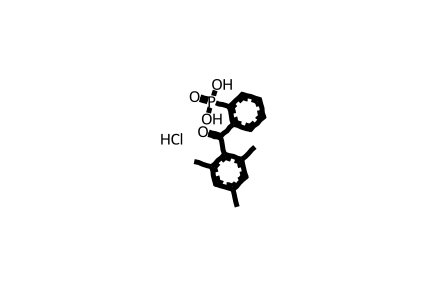 Cc1cc(C)c(C(=O)c2ccccc2P(=O)(O)O)c(C)c1.Cl